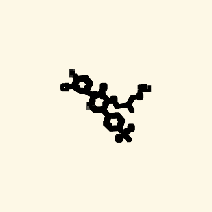 CC(COc1c(-c2ccc(S(C)(=O)=O)cc2)cnn(-c2ccc(F)c(Cl)c2)c1=O)COC(C)(C)C